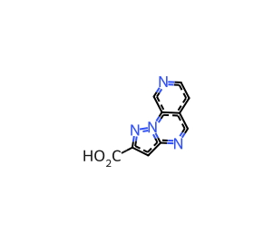 O=C(O)c1cc2ncc3ccncc3n2n1